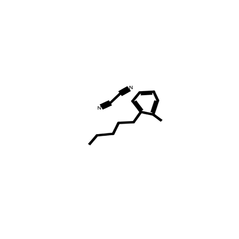 CCCCCc1ccccc1C.N#CC#N